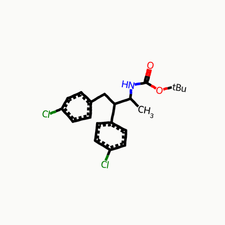 CC(NC(=O)OC(C)(C)C)C(Cc1ccc(Cl)cc1)c1ccc(Cl)cc1